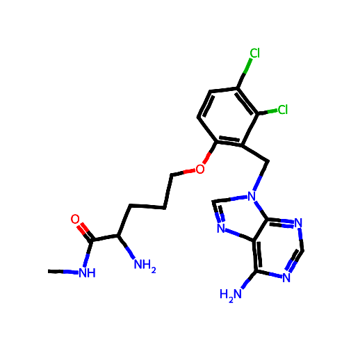 CNC(=O)C(N)CCCOc1ccc(Cl)c(Cl)c1Cn1cnc2c(N)ncnc21